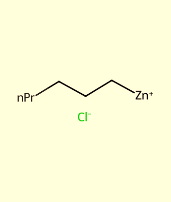 CCCCC[CH2][Zn+].[Cl-]